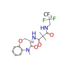 CN1C(=O)[C@@H](NC(=O)C(C)(C)C(=O)NCC(F)(F)C(F)(F)F)COc2ccccc21